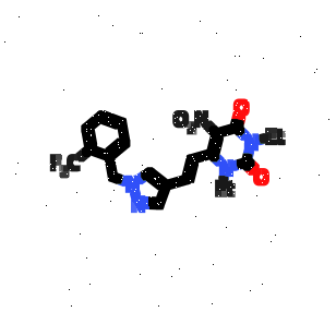 CCn1c(/C=C/c2cnn(Cc3ccccc3C(F)(F)F)c2)c([N+](=O)[O-])c(=O)n(CC)c1=O